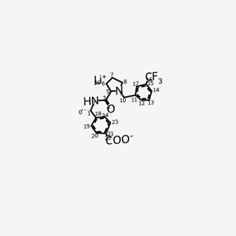 C[C@H](NC(=O)C1CCCN1Cc1cccc(C(F)(F)F)c1)c1ccc(C(=O)[O-])cc1.[Li+]